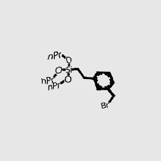 CCCO[Si](CCc1cccc(CBr)c1)(OCCC)OCCC